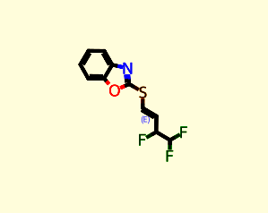 FC(F)C(F)/C=C/Sc1nc2ccccc2o1